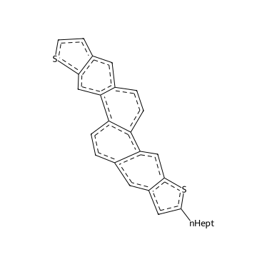 CCCCCCCc1cc2cc3ccc4c5cc6sccc6cc5ccc4c3cc2s1